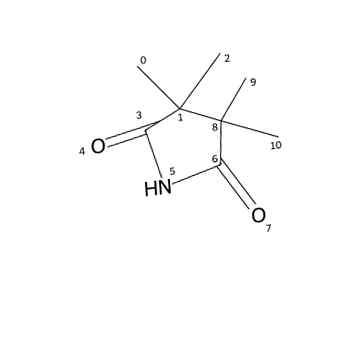 CC1(C)C(=O)NC(=O)C1(C)C